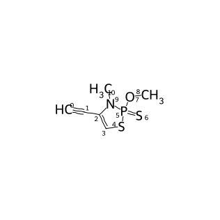 C#CC1=CSP(=S)(OC)N1C